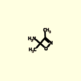 CC1=NOC1(C)N